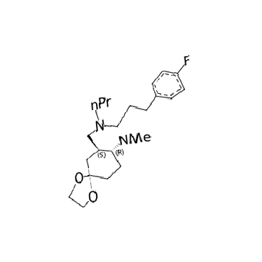 CCCN(CCCc1ccc(F)cc1)C[C@@H]1CC2(CC[C@H]1NC)OCCO2